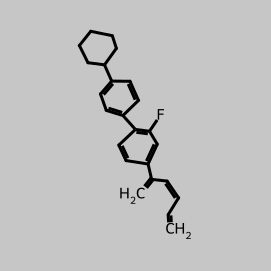 C=C/C=C\C(=C)c1ccc(-c2ccc(C3CCCCC3)cc2)c(F)c1